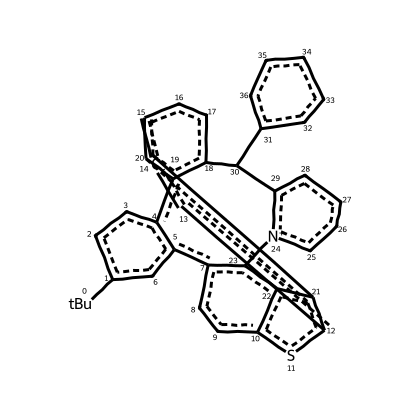 CC(C)(C)c1ccc2c(c1)c1ccc3sc4ccc5ccc6c2c5c4c3c1-[n+]1ccccc1C6c1ccccc1